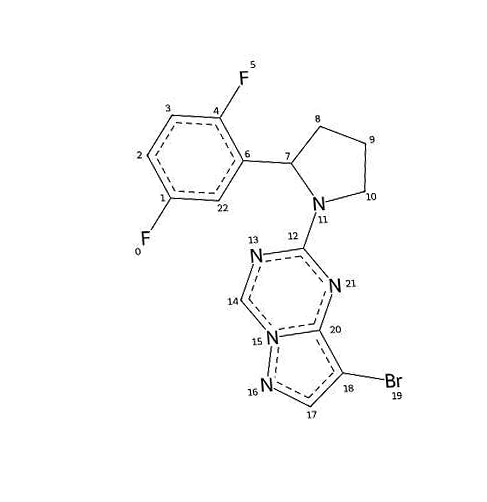 Fc1ccc(F)c(C2CCCN2c2ncn3ncc(Br)c3n2)c1